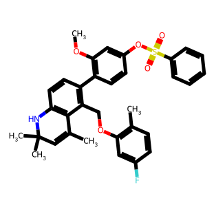 COc1cc(OS(=O)(=O)c2ccccc2)ccc1-c1ccc2c(c1COc1cc(F)ccc1C)C(C)=CC(C)(C)N2